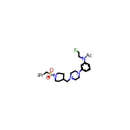 CC(=O)N(CCF)c1cccc(N2CCN(CC3CCN(S(=O)(=O)CC(C)C)CC3)CC2)c1